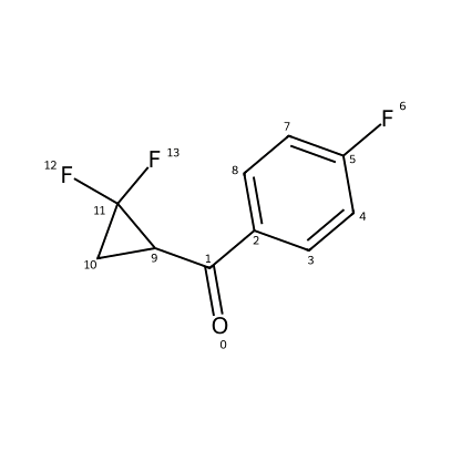 O=C(c1ccc(F)cc1)C1CC1(F)F